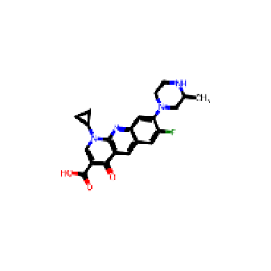 CC1CN(c2cc3nc4c(cc3cc2F)c(=O)c(C(=O)O)cn4C2CC2)CCN1